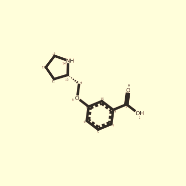 O=C(O)c1cccc(OC[C@@H]2CCCN2)c1